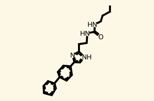 CCCCNC(=O)NCCc1nc(-c2ccc(-c3ccccc3)cc2)c[nH]1